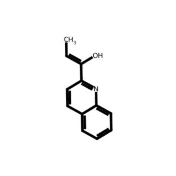 C/C=C(\O)c1ccc2ccccc2n1